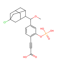 COC(c1ccc(C#CC(=O)O)c(OP(=O)(O)O)c1)C1C2CC3CC1CC(Cl)(C3)C2